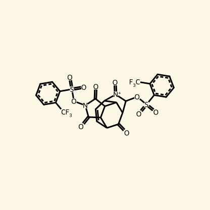 O=C1C2C=CC3C(C4C(=O)N(OS(=O)(=O)c5ccccc5C(F)(F)F)C(=O)C24)C1C(OS(=O)(=O)c1ccccc1C(F)(F)F)[N+]3=O